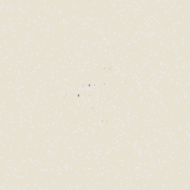 O.[LiH].[O]=[Cr](=[O])([OH])[O][Cr](=[O])(=[O])[OH]